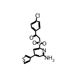 Nc1cc(-c2ccsc2)cc(S(=O)(=O)CC(=O)c2ccc(Cl)cc2)n1